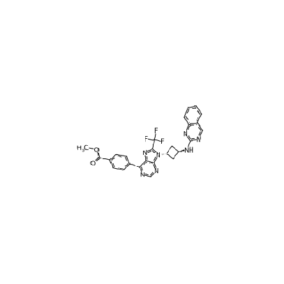 COC(=O)c1ccc(-c2ncnc3c2nc(C(F)(F)F)n3[C@H]2C[C@H](Nc3ncc4ccccc4n3)C2)cc1